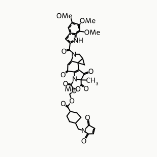 COC(=O)C1(C)C(=O)C2=C(C(=O)C=C3N(C(=O)c4cc5cc(OC)c(OC)c(OC)c5[nH]4)CC4CC324)N1C(=O)OCOC(=O)C1CCC(CN2C(=O)C=CC2=O)CC1